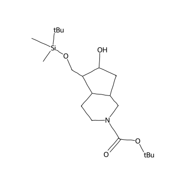 CC(C)(C)OC(=O)N1CCC2C(CC(O)C2CO[Si](C)(C)C(C)(C)C)C1